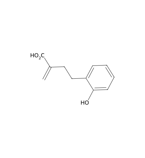 C=C(CCc1ccccc1O)C(=O)O